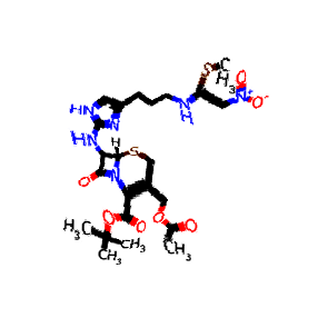 CSC(=C[N+](=O)[O-])NCCCc1c[nH]c(NC2C(=O)N3C(C(=O)OC(C)(C)C)=C(COC(C)=O)CS[C@@H]23)n1